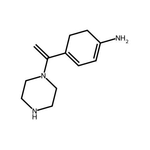 C=C(C1=CC=C(N)CC1)N1CCNCC1